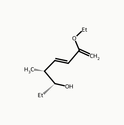 C=C(/C=C/[C@@H](C)[C@H](O)CC)OCC